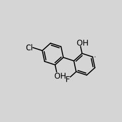 Oc1[c]ccc(F)c1-c1ccc(Cl)cc1O